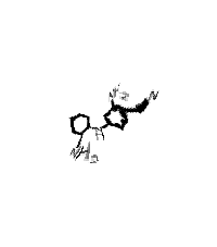 N#Cc1ccc(N[C@@H]2CCCC[C@@H]2N)cc1N